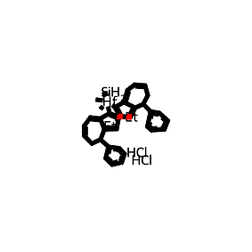 CCC1=[C]([Hf]([CH3])([CH3])(=[SiH2])[C]2=C(CC)C=C3C2=CC=CCC3c2ccccc2)C2=CC=CCC(c3ccccc3)C2=C1.Cl.Cl